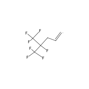 [CH]=CCC(F)(C(F)(F)F)C(F)(F)F